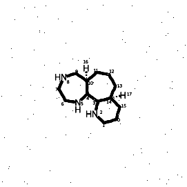 C1CNC2C3NCCNC[C@H]3CCC[C@H]2C1